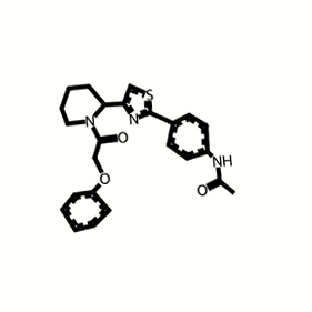 CC(=O)Nc1ccc(-c2nc(C3CCCCN3C(=O)COc3ccccc3)cs2)cc1